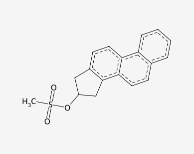 CS(=O)(=O)OC1Cc2ccc3c(ccc4ccccc43)c2C1